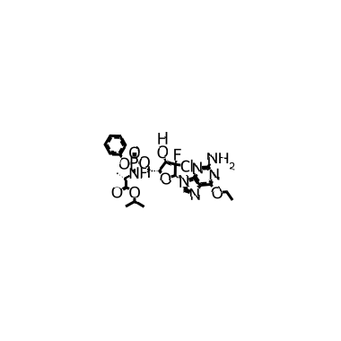 CCOc1nc(N)nc2c1ncn2[C@@H]1O[C@H](COP(=O)(N[C@@H](C)C(=O)OC(C)C)Oc2ccccc2)[C@@H](O)[C@]1(F)Cl